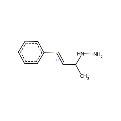 CC(/C=C/c1ccccc1)NN